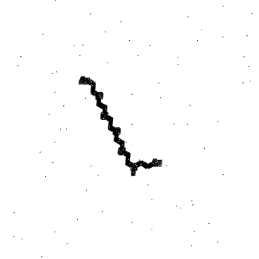 CC(=O)CCOCCOCCOCCOCCN(C)CCC(C)=O